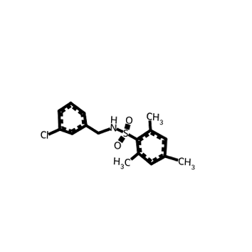 Cc1cc(C)c(S(=O)(=O)NCc2cccc(Cl)c2)c(C)c1